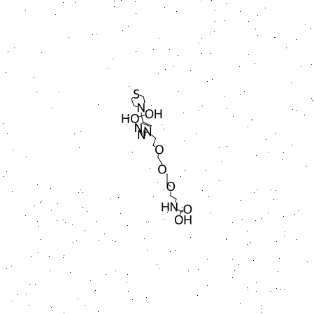 O=C(O)NCCOCCOCCOCCn1cc(C(O)(O)N2CCSCC2)nn1